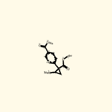 CNC1CC1(C(=O)OC(C)(C)C)c1ccc(C(=O)OC)cn1